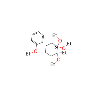 CCOC1(CC)CCCC[Si]1(OCC)OCC.CCOc1ccccc1